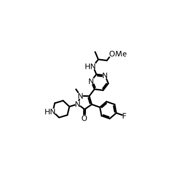 COCC(C)Nc1nccc(-c2c(-c3ccc(F)cc3)c(=O)n(C3CCNCC3)n2C)n1